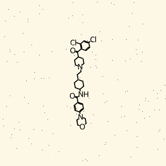 O=C(NC1CCC(CCN2CCC(C(=O)c3ccc(Cl)cc3Cl)CC2)CC1)c1ccc(N2CCOCC2)cc1